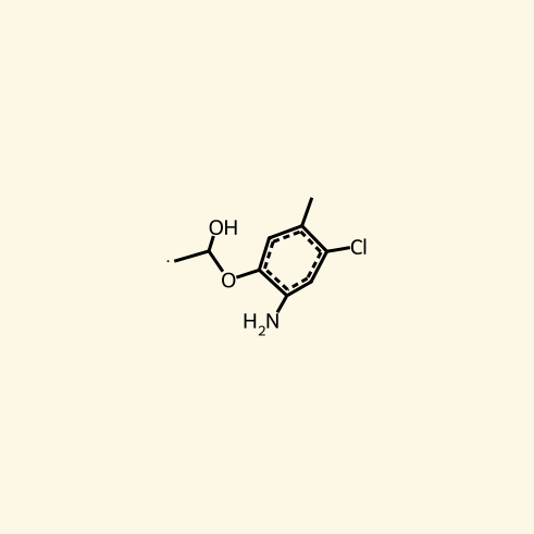 [CH2]C(O)Oc1cc(C)c(Cl)cc1N